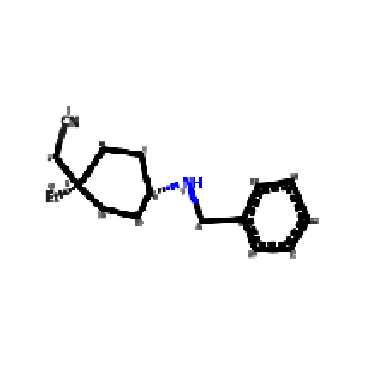 CC[C@]1(CC#N)CC[C@H](NCc2ccccc2)CC1